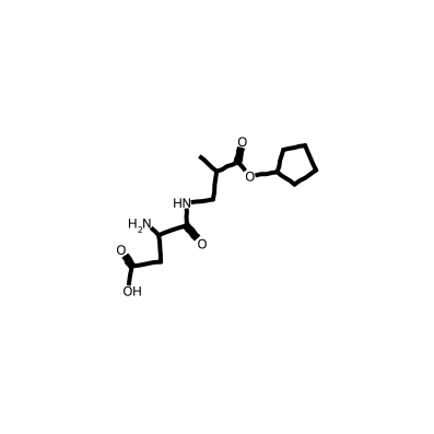 CC(CNC(=O)C(N)CC(=O)O)C(=O)OC1CCCC1